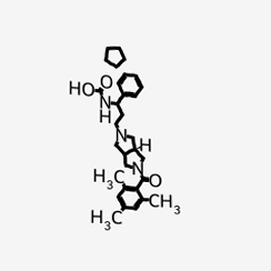 C1CCCC1.Cc1cc(C)c(C(=O)N2CC3CN(CCC(NC(=O)O)c4ccccc4)C[C@H]3C2)c(C)c1